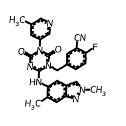 Cc1cncc(-n2c(=O)nc(Nc3cc4cn(C)nc4cc3C)n(Cc3ccc(F)c(C#N)c3)c2=O)c1